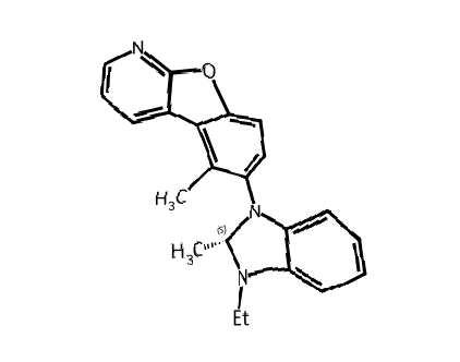 CCN1c2ccccc2N(c2ccc3oc4ncccc4c3c2C)[C@H]1C